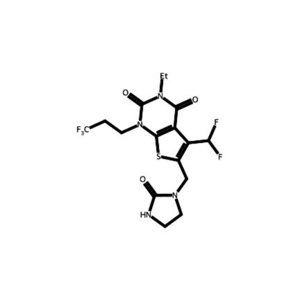 CCn1c(=O)c2c(C(F)F)c(CN3CCNC3=O)sc2n(CCC(F)(F)F)c1=O